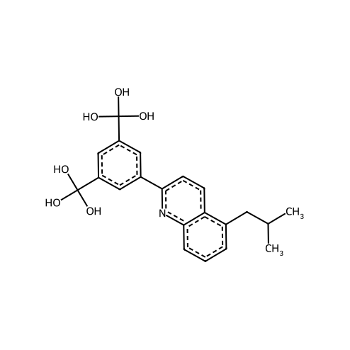 CC(C)Cc1cccc2nc(-c3cc(C(O)(O)O)cc(C(O)(O)O)c3)ccc12